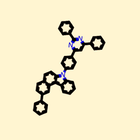 c1ccc(-c2ccc3ccc4c(c3c2)c2ccccc2n4-c2ccc(-c3cc(-c4ccccc4)nc(-c4ccccc4)n3)cc2)cc1